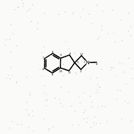 CN1CC2(Cc3ccccc3C2)C1